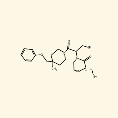 CC(C)CC(C(=O)N1CCC(C)(COc2ccccc2)CC1)N1CCN[C@@H](CC(C)C)C1=O